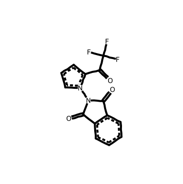 O=C1c2ccccc2C(=O)N1n1cccc1C(=O)C(F)(F)F